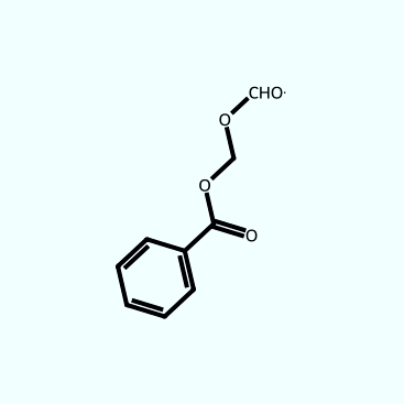 O=[C]OCOC(=O)c1ccccc1